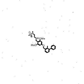 COc1cc(OCc2cccc(-c3ccccc3)c2C)cc(OC)c1CNCCN(C)S(C)(=O)=O